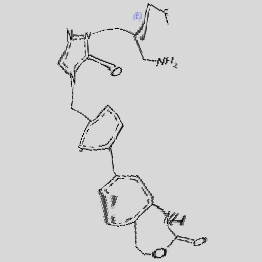 NC/C(=C\F)Cn1ncn(Cc2ccc(-c3ccc4c(c3)NC(=O)OC4)s2)c1=O